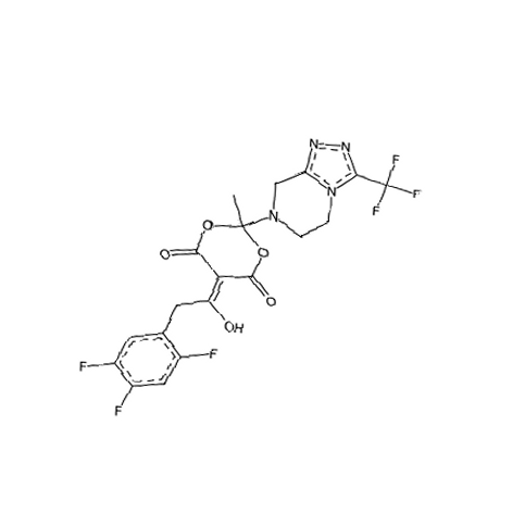 CC1(N2CCn3c(nnc3C(F)(F)F)C2)OC(=O)C(=C(O)Cc2cc(F)c(F)cc2F)C(=O)O1